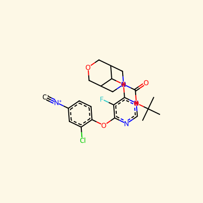 [C-]#[N+]c1ccc(Oc2ncnc(OC3C4COCC3CN(C(=O)OC(C)(C)C)C4)c2F)c(Cl)c1